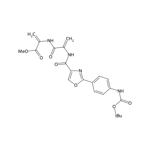 C=C(NC(=O)c1coc(-c2ccc(NC(=O)OC(C)(C)C)cc2)n1)C(=O)NC(=C)C(=O)OC